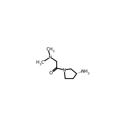 CN(C)CC(=O)N1CC[C@@H](N)C1